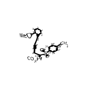 COc1ccccc1C#CCC(C(=O)O)S(=O)(=O)c1ccc(C)cc1